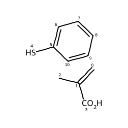 C=C(C)C(=O)O.Sc1ccccc1